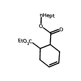 CCCCCCCOC(=O)C1CC=CCC1C(=O)OCC